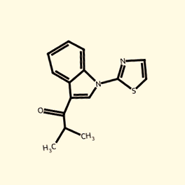 CC(C)C(=O)c1cn(-c2nccs2)c2ccccc12